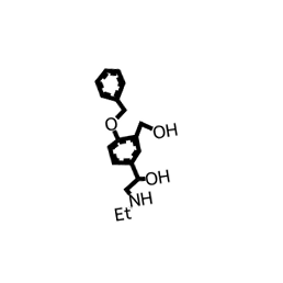 CCNCC(O)c1ccc(OCc2ccccc2)c(CO)c1